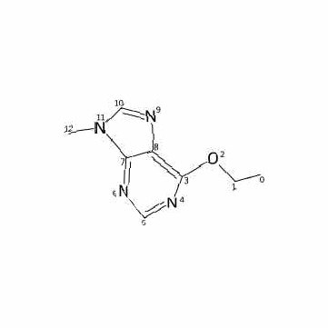 CCOc1ncnc2c1ncn2C